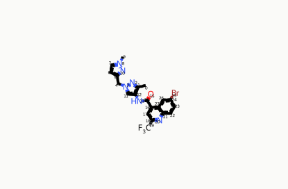 Cc1nn(Cc2ccn(C)n2)cc1NC(=O)c1cc(C(F)(F)F)nc2ccc(Br)cc12